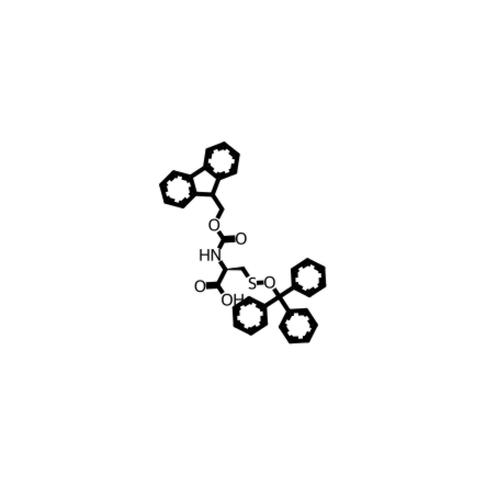 O=C(N[C@@H](CSOC(c1ccccc1)(c1ccccc1)c1ccccc1)C(=O)O)OCC1c2ccccc2-c2ccccc21